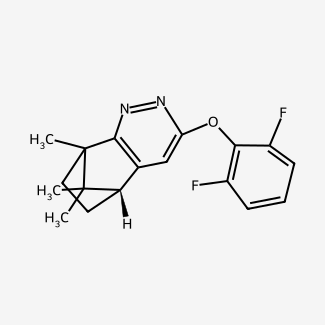 CC12CC[C@@H](c3cc(Oc4c(F)cccc4F)nnc31)C2(C)C